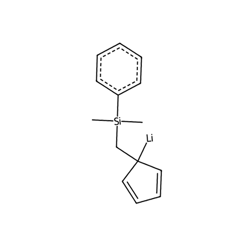 [Li][C]1(C[Si](C)(C)c2ccccc2)C=CC=C1